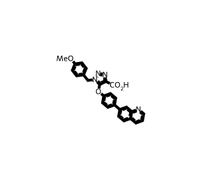 COc1ccc(Cn2nnc(C(=O)O)c2Oc2ccc(-c3ccc4cccnc4c3)cc2)cc1